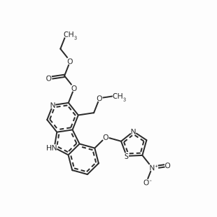 CCOC(=O)Oc1ncc2[nH]c3cccc(Oc4ncc([N+](=O)[O-])s4)c3c2c1COC